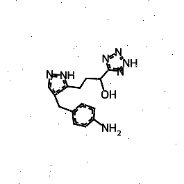 Nc1ccc(Cc2cn[nH]c2CCC(O)c2nn[nH]n2)cc1